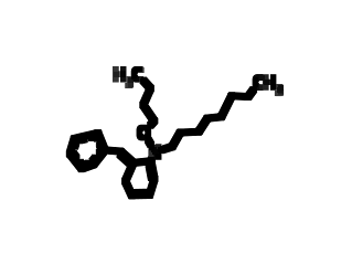 CCCCCCCCN(OCCCC)C1=CC=CCC1=Cc1ccccc1